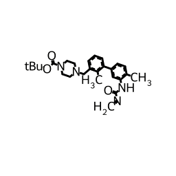 C=NC(=O)Nc1cc(-c2cccc(CN3CCN(C(=O)OC(C)(C)C)CC3)c2C)ccc1C